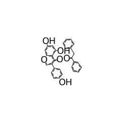 O=C(Cc1ccccc1)c1ccccc1.O=c1c(-c2ccc(O)cc2)coc2cc(O)cc(O)c12